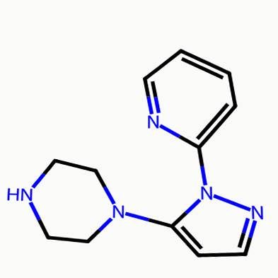 c1ccc(-n2nccc2N2CCNCC2)nc1